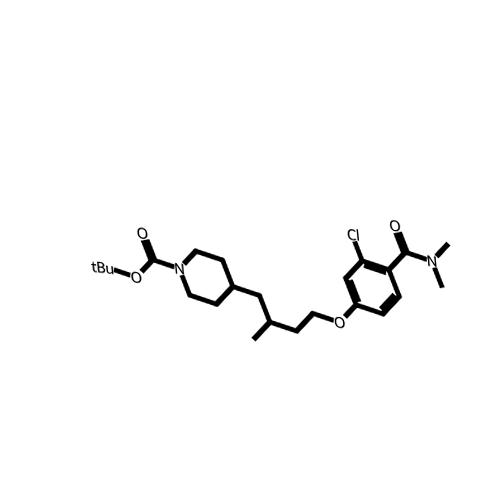 CC(CCOc1ccc(C(=O)N(C)C)c(Cl)c1)CC1CCN(C(=O)OC(C)(C)C)CC1